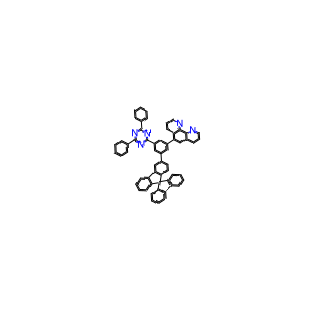 c1ccc(-c2nc(-c3ccccc3)nc(-c3cc(-c4ccc5c(c4)-c4ccccc4C54c5ccccc5-c5ccccc54)cc(-c4cc5cccnc5c5ncccc45)c3)n2)cc1